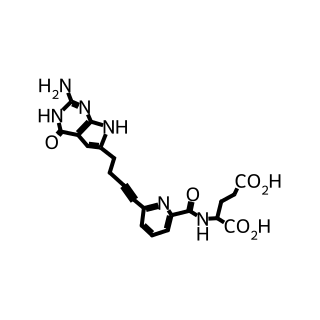 Nc1nc2[nH]c(CCC#Cc3cccc(C(=O)NC(CCC(=O)O)C(=O)O)n3)cc2c(=O)[nH]1